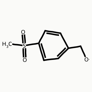 CS(=O)(=O)c1ccc(C[O])cc1